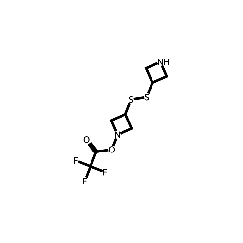 O=C(ON1CC(SSC2CNC2)C1)C(F)(F)F